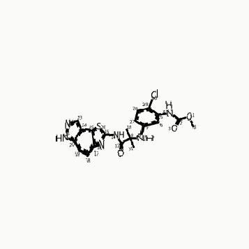 COC(=O)Nc1cc(NC(C)(C)C(=O)Nc2nc3ccc4[nH]ncc4c3s2)ccc1Cl